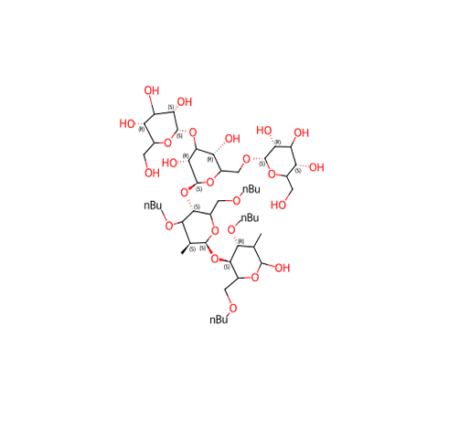 CCCCOCC1O[C@@H](O[C@@H]2C(COCCCC)OC(O)C(C)[C@H]2OCCCC)[C@@H](C)C(OCCCC)[C@@H]1O[C@@H]1OC(CO[C@H]2OC(CO)[C@@H](O)C(O)[C@H]2O)[C@@H](O)C(O[C@@H]2OC(CO)[C@H](O)C(O)[C@@H]2O)[C@H]1O